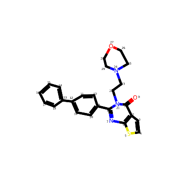 O=c1c2ccsc2nc(-c2ccc(-c3ccccc3)cc2)n1CCN1CCOCC1